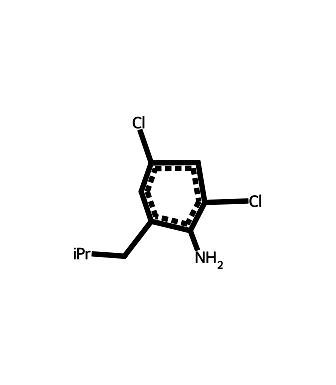 CC(C)Cc1cc(Cl)cc(Cl)c1N